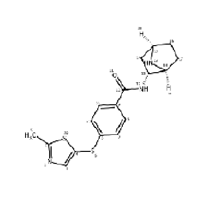 Cc1ncc(Sc2ccc(C(=O)N[C@@H]3C[C@H]4CC[C@@H]3N4)cc2)s1